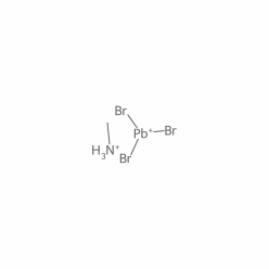 C[NH3+].[Br][Pb+]([Br])[Br]